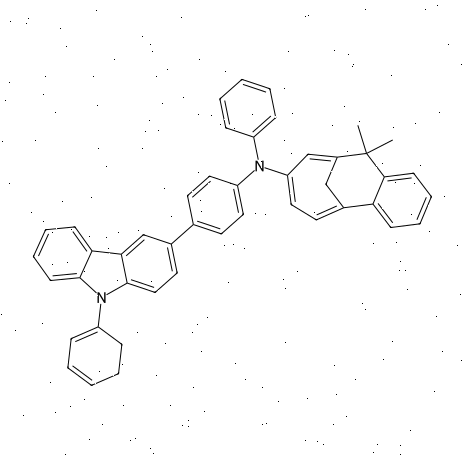 CC1(C)C2=CC(N(c3ccccc3)c3ccc(-c4ccc5c(c4)c4ccccc4n5C4=CC=CCC4)cc3)=CC=C(C2)c2ccccc21